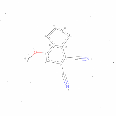 COc1cc(C#N)c(C#N)c2ccccc12